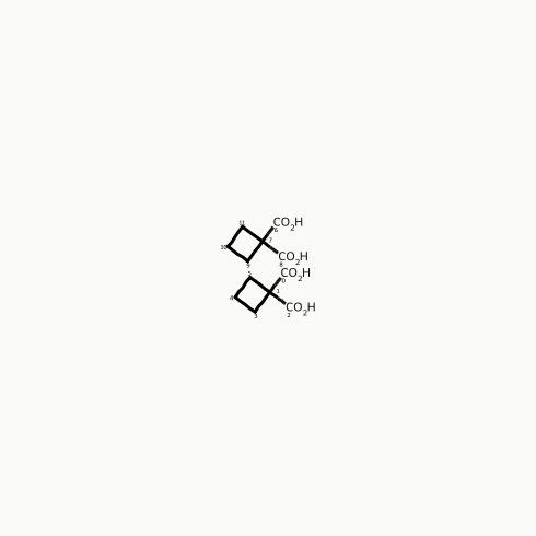 O=C(O)C1(C(=O)O)CCC1.O=C(O)C1(C(=O)O)CCC1